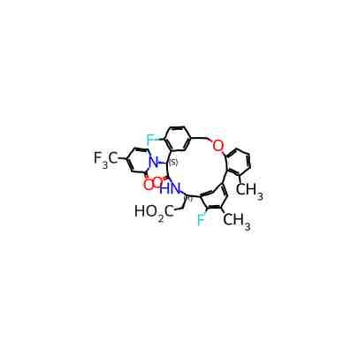 Cc1cc2cc(c1F)[C@@H](CC(=O)O)NC(=O)[C@@H](n1ccc(C(F)(F)F)cc1=O)c1cc(ccc1F)COc1cccc(C)c1-2